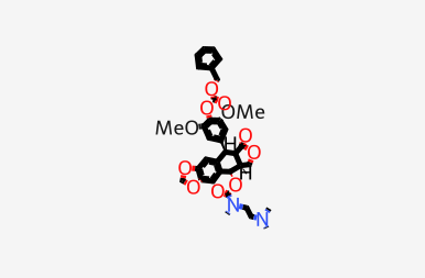 COc1cc([C@@H]2c3cc4c(cc3[C@@H](OC(=O)N(C)CCN(C)C)[C@@H]3COC(=O)[C@@H]23)OCO4)cc(OC)c1OC(=O)OCc1ccccc1